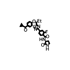 CC[C@@H](Oc1ccc(C(=O)C2CC2)cc1)c1nc(-c2ccc(C(=O)N[C@@H]3CCNC3=O)c(F)c2)no1